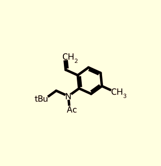 C=Cc1ccc(C)cc1N(CC(C)(C)C)C(C)=O